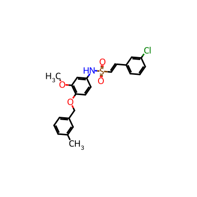 COc1cc(NS(=O)(=O)/C=C/c2cccc(Cl)c2)ccc1OCc1cccc(C)c1